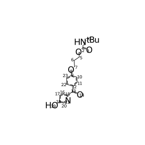 CC(C)(C)NC(=O)OCCCOc1ccc(C(=O)c2ccc(O)cn2)cc1